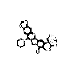 CC[C@@]1(O)C(=O)OCc2c1cc1n(c2=O)Cc2c-1nc1cc3c(cc1c2N1CCCCC1)OCO3